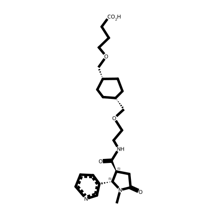 CN1C(=O)C[C@H](C(=O)NCCOC[C@H]2CC[C@@H](COCCCC(=O)O)CC2)[C@H]1c1cccnc1